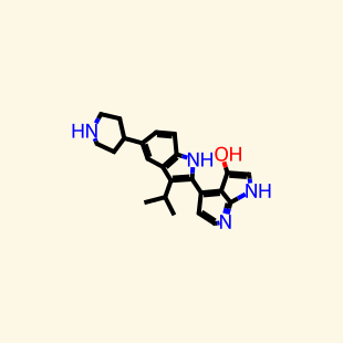 CC(C)c1c(-c2ccnc3[nH]cc(O)c23)[nH]c2ccc(C3CCNCC3)cc12